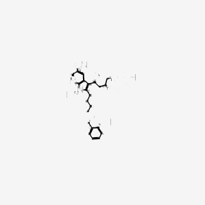 Cc1ccccc1COCCCCc1c(C(=O)CC(C)CC(=O)O)c2cc(C#N)cnc2n1C